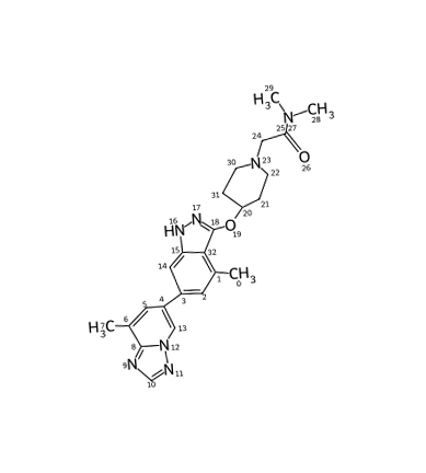 Cc1cc(-c2cc(C)c3ncnn3c2)cc2[nH]nc(OC3CCN(CC(=O)N(C)C)CC3)c12